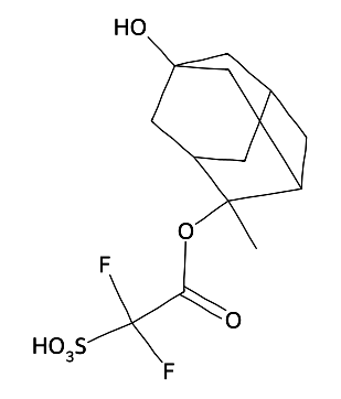 CC1(OC(=O)C(F)(F)S(=O)(=O)O)C2CC3CC1CC(O)(C3)C2